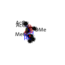 CO/N=C(\C(=O)N[C@@H]1C(=O)N2C(C(=O)OCc3ccc(OC)cc3)=C(/C=C/c3cccc(OC(C)=O)c3OC(C)=O)CS[C@H]12)c1csc(NC(c2ccccc2)(c2ccccc2)c2ccccc2)n1